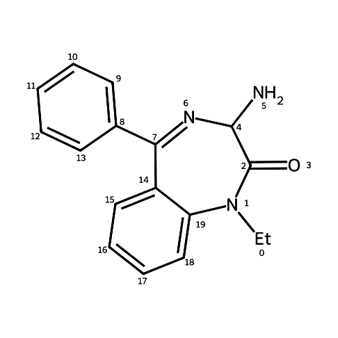 CCN1C(=O)C(N)N=C(c2ccccc2)c2ccccc21